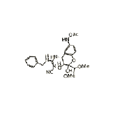 COC(OC)[C@@]1(C)Oc2ccc(NOC(C)=O)cc2[C@@H](NC(=NC#N)NCc2ccccc2)[C@@H]1O